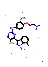 COc1cnc(Nc2ccc(OCCN(C)C)c(NC(C)=O)c2)nc1-c1cn(C)c2c(C)cccc12